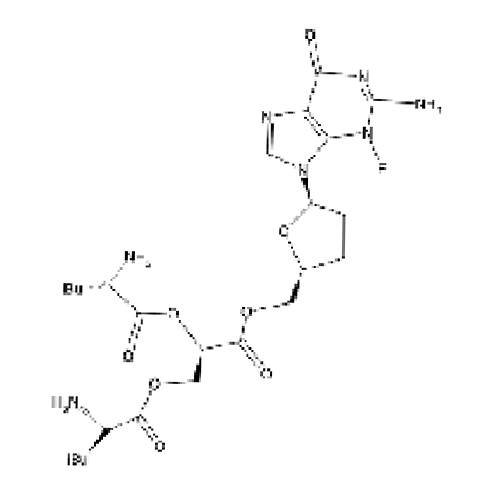 CC[C@H](C)[C@H](N)C(=O)OC[C@@H](OC(=O)[C@@H](N)[C@@H](C)CC)C(=O)OC[C@@H]1CC[C@H](n2cnc3c(=O)nc(N)n(F)c32)O1